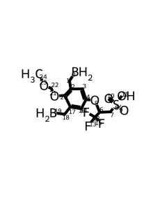 BCc1cc(OC(CS(=O)(=O)O)C(F)(F)F)cc(CB)c1OCOC